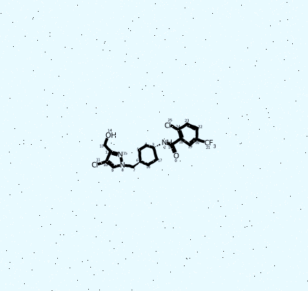 O=C(N[C@H]1CC[C@H](Cn2cc(Cl)c(CO)n2)CC1)c1cc(C(F)(F)F)ccc1Cl